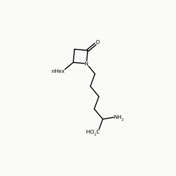 CCCCCCC1CC(=O)N1CCCCC(N)C(=O)O